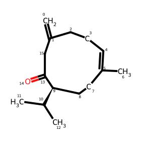 C=C1CC/C=C(/C)CC[C@@H](C(C)C)C(=O)C1